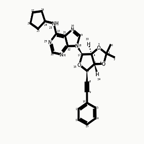 CC1(C)O[C@H]2[C@H](O1)[C@@H](C#Cc1ccccc1)O[C@H]2n1cnc2c(NC3CCCC3)ncnc21